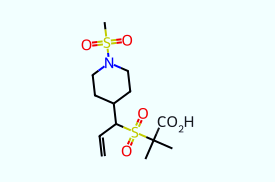 C=CC(C1CCN(S(C)(=O)=O)CC1)S(=O)(=O)C(C)(C)C(=O)O